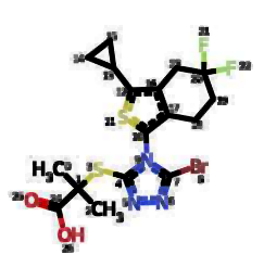 CC(C)(Sc1nnc(Br)n1-c1sc(C2CC2)c2c1CCC(F)(F)C2)C(=O)O